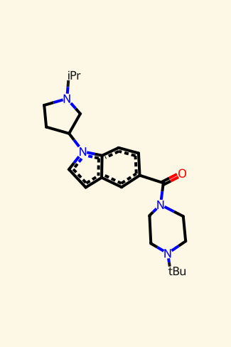 CC(C)N1CCC(n2ccc3cc(C(=O)N4CCN(C(C)(C)C)CC4)ccc32)C1